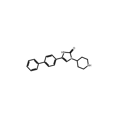 O=c1[nH]c(-c2ccc(-c3ccccc3)cc2)cn1C1CCNCC1